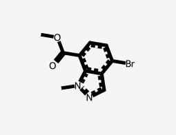 COC(=O)c1ccc(Br)c2cnn(C)c12